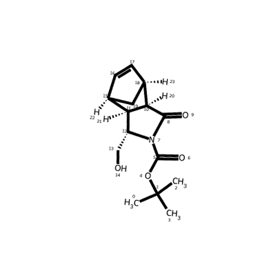 CC(C)(C)OC(=O)N1C(=O)[C@H]2[C@@H]([C@H]1CO)[C@H]1C=C[C@@H]2C1